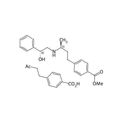 CC(=O)CCc1ccc(C(=O)O)cc1.COC(=O)c1ccc(CC[C@H](C)NC[C@H](O)c2ccccc2)cc1